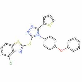 Clc1cccc2sc(Sc3nnc(-c4cccs4)n3-c3ccc(Oc4ccccc4)cc3)nc12